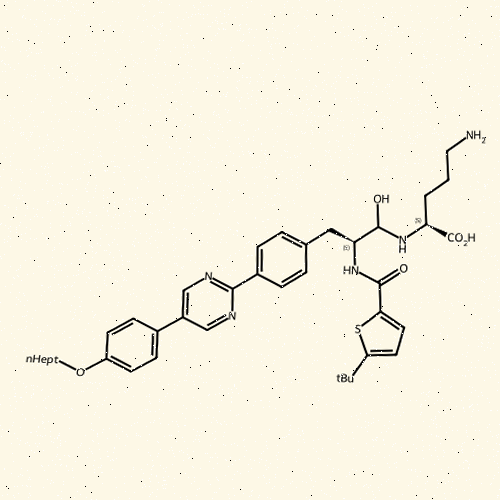 CCCCCCCOc1ccc(-c2cnc(-c3ccc(C[C@H](NC(=O)c4ccc(C(C)(C)C)s4)C(O)N[C@@H](CCCN)C(=O)O)cc3)nc2)cc1